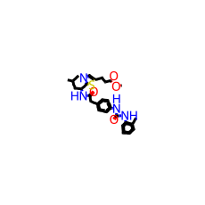 COC(=O)CCc1cnc(C(CC(C)C)NC(=O)Cc2ccc(NC(=O)Nc3ccccc3C)cc2)s1